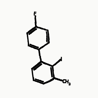 Cc1cccc(-c2ccc(F)cc2)c1I